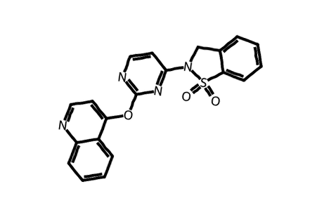 O=S1(=O)c2ccccc2CN1c1ccnc(Oc2ccnc3ccccc23)n1